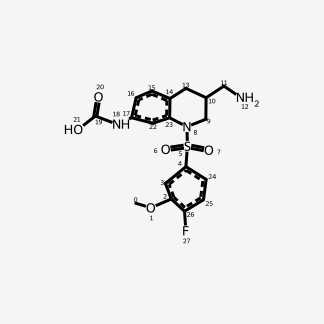 COc1cc(S(=O)(=O)N2CC(CN)Cc3ccc(NC(=O)O)cc32)ccc1F